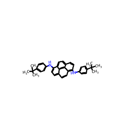 CC(C)(C)c1ccc(Nc2ccc3ccc4c(Nc5ccc(C(C)(C)C)cc5)ccc5ccc2c3c54)cc1